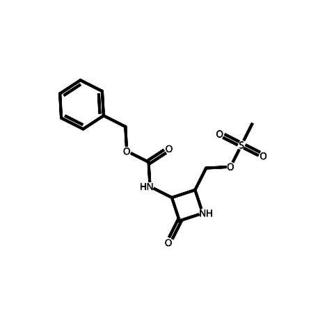 CS(=O)(=O)OCC1NC(=O)C1NC(=O)OCc1ccccc1